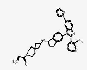 C=CC(=O)N1CCC2(CC1)CC(N[C@H]1CCc3cc(-n4c(-c5cccnc5N)nc5ccc(-n6cccn6)nc54)ccc31)C2